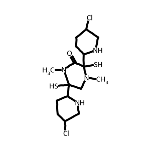 CN1C(=O)C(S)(C2CCC(Cl)CN2)N(C)CC1(S)C1CCC(Cl)CN1